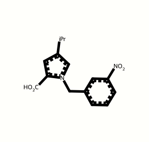 CC(C)c1cc(C(=O)O)n(Cc2cccc([N+](=O)[O-])c2)c1